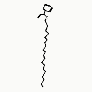 C=CC(OCCCCCCCCCCCCCCCCCCCC)c1ccccc1